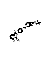 CC(F)(F)COc1nc2c(s1)CCN(CC[C@H]1CC[C@H](NC(=O)c3cccc(=O)n3CC(F)(F)F)CC1)C2